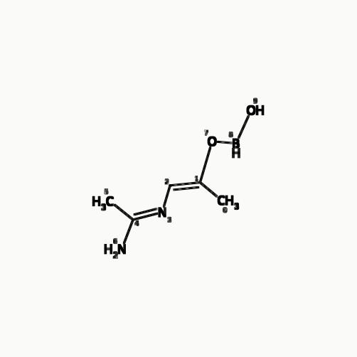 C/C(=C\N=C(/C)N)OBO